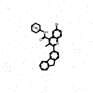 Cc1c(-c2ccc3c(c2)-c2ccccc2C3)nc2ccc(Br)cc2c1C(=O)NC12CCC(CC1)CC2